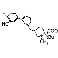 C[C@H]1CN(Cc2cccc(-c3ccc(F)c(C#N)c3)c2)CC[N+]1(C(=O)[O-])C(C)(C)C